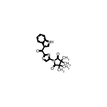 CC1(C)C(=O)N(c2csc(C(=O)c3c[nH]c4ccccc34)n2)C(=O)C1(C)C